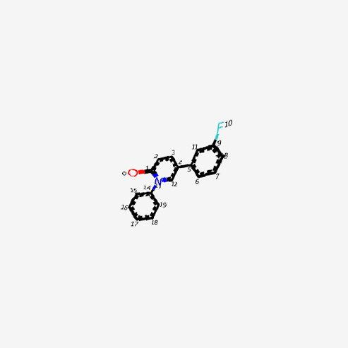 O=c1ccc(-c2cccc(F)c2)cn1-c1ccccc1